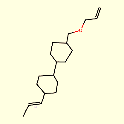 C=CCOCC1CCC(C2CCC(/C=C/C)CC2)CC1